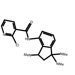 CNC1CC(NC)(NC)c2cccc(NC(=O)c3cccnc3Cl)c21